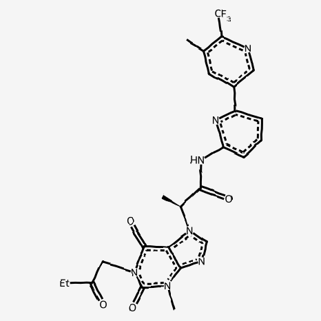 CCC(=O)Cn1c(=O)c2c(ncn2[C@@H](C)C(=O)Nc2cccc(-c3cnc(C(F)(F)F)c(C)c3)n2)n(C)c1=O